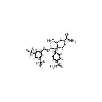 CC1CN(C(N)=O)CCN1C(COCc1cc(C(F)(F)F)cc(C(F)(F)F)c1)c1ccc(C(N)=O)cc1